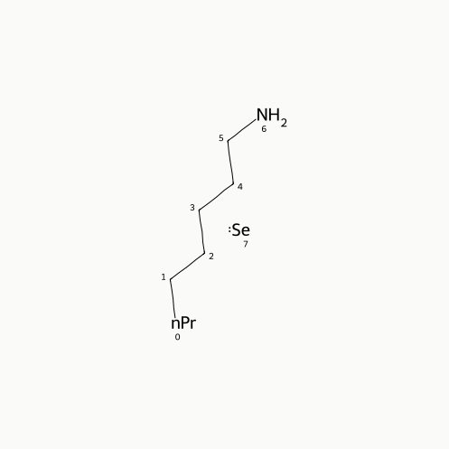 CCCCCCCCN.[Se]